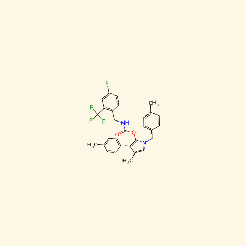 Cc1ccc(Cn2cc(C)c(-c3ccc(C)cc3)c2OC(=O)NCc2ccc(F)cc2C(F)(F)F)cc1